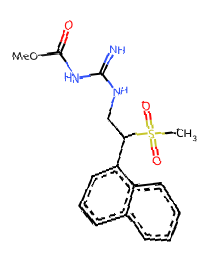 COC(=O)NC(=N)NCC(c1cccc2ccccc12)S(C)(=O)=O